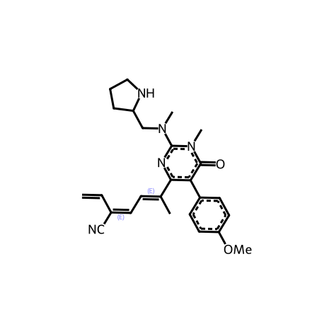 C=C/C(C#N)=C\C=C(/C)c1nc(N(C)CC2CCCN2)n(C)c(=O)c1-c1ccc(OC)cc1